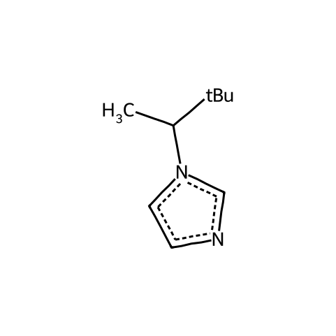 CC(n1ccnc1)C(C)(C)C